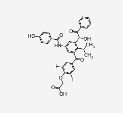 CC(C)c1c(C(=O)c2cc(I)c(OCC(=O)O)c(I)c2)cc(NC(=O)c2ccc(O)cc2)cc1C(O)C(=O)c1ccccc1